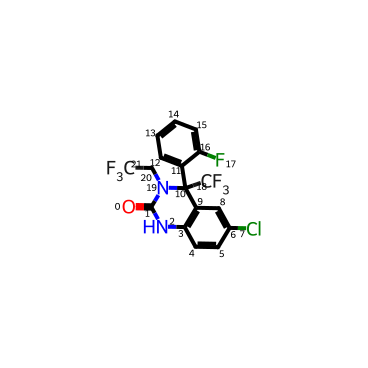 O=C1Nc2ccc(Cl)cc2C(c2ccccc2F)(C(F)(F)F)N1CC(F)(F)F